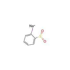 O=[S-](=O)c1ccccc1I.[Na+]